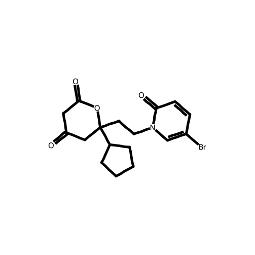 O=C1CC(=O)OC(CCn2cc(Br)ccc2=O)(C2CCCC2)C1